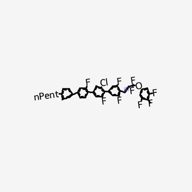 CCCCCc1ccc(-c2ccc(-c3cc(F)c(-c4cc(F)c(/C=C/C(F)(F)Oc5cc(F)c(F)c(F)c5)c(F)c4)c(Cl)c3)c(F)c2)cc1